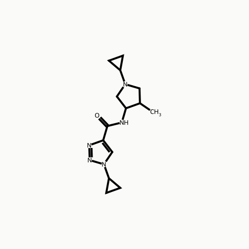 CC1CN(C2CC2)CC1NC(=O)c1cn(C2CC2)nn1